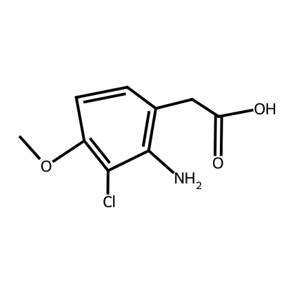 COc1ccc(CC(=O)O)c(N)c1Cl